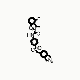 CC1c2c(F)cccc2ON1C(=O)Nc1ccc(S(=O)(=O)Cc2ccc3c(c2)CN(C)C3)cc1